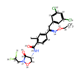 Cc1cc(/C(Cc2cc(Cl)cc(Cl)c2)=N/OCC(F)(F)F)ccc1C(=O)N[C@@H]1CON(CC(F)F)C1=O